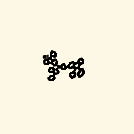 CC1(c2ccccc2)c2ccccc2-c2cc(N(c3ccc(-c4ccc5c(c4)c(-c4ccccc4)c(-c4ccccc4)c4ccccc45)cc3)c3ccc(-c4ccccc4)c4ccccc34)ccc21